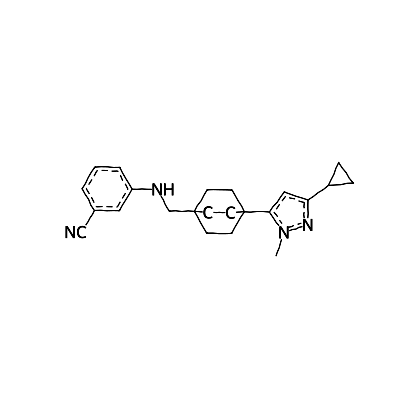 Cn1nc(C2CC2)cc1C12CCC(CNc3cccc(C#N)c3)(CC1)CC2